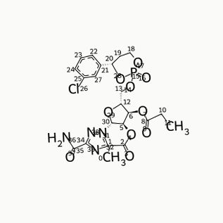 CCC(=O)O[C@@H]1[C@H](OC(=O)CC)[C@@H](COP2(=O)OCC[C@@H](c3cccc(Cl)c3)O2)O[C@H]1n1cnc(C(N)=O)n1